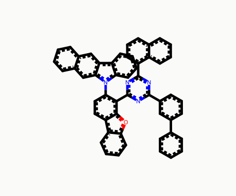 c1ccc(-c2cccc(-c3nc(-c4cccc5ccccc45)nc(-c4c(-n5c6ccccc6c6cc7ccccc7cc65)ccc5c4oc4ccccc45)n3)c2)cc1